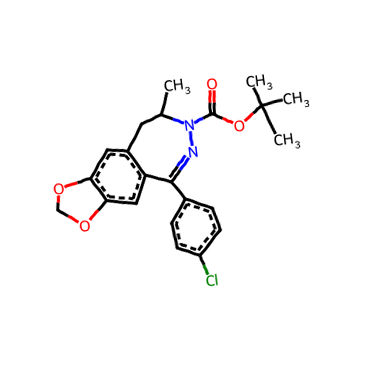 CC1Cc2cc3c(cc2C(c2ccc(Cl)cc2)=NN1C(=O)OC(C)(C)C)OCO3